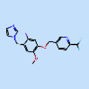 COc1cc(Cn2ccnc2)c(I)cc1OCc1ccc(C(F)F)nc1